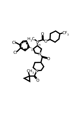 CN(C(=O)OC1CCC(C(F)(F)F)CC1)[C@H]1CN(C(=O)C2CCN(C(=O)C3(C)CC3)CC2)C[C@@H]1c1ccc(Cl)c(Cl)c1